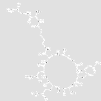 CCC[C@H](NC(=O)CCCCNC(=O)[C@@H]1CNC(=O)CCC(=O)N[C@@H](Cc2ccc(O)cc2)C(=O)N[C@@H]([C@@H](C)CC)C(=O)N[C@@H](CCC(N)=O)C(=O)N[C@@H](CC(N)=O)C(=O)N1)C(=O)NCC(N)=O